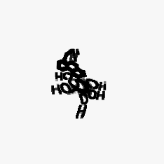 CN1CCc2cccc3c2C1Cc1ccc([C@@H]2O[C@H](CO)[C@@H](O)[C@H](O)[C@H]2O)c(O)c1-3